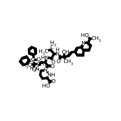 CC(O)c1ccc2ccc(/C=C/C(C)(C)C(=O)NC(C(=O)NC(C(=O)N3CCCC(C(=O)O)N3)C(C)O[Si](c3ccccc3)(c3ccccc3)C(C)(C)C)C(C)C)cc2n1